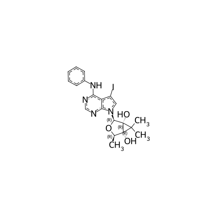 C[C@H]1O[C@@H](n2cc(I)c3c(Nc4ccccc4)ncnc32)[C@@]2(O)C(C)(C)[C@@]12O